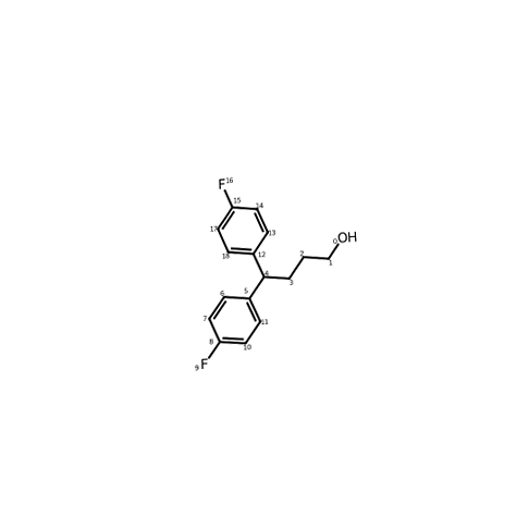 OCCCC(c1ccc(F)cc1)c1ccc(F)cc1